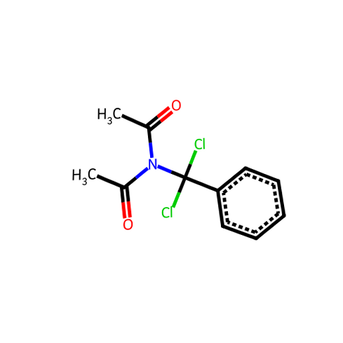 CC(=O)N(C(C)=O)C(Cl)(Cl)c1ccccc1